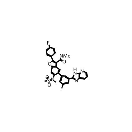 CNC(=O)c1c(-c2ccc(F)cc2)oc2cc(N(C)S(C)(=O)=O)c(-c3cc(F)cc(-c4nc5cccnc5[nH]4)c3)cc12